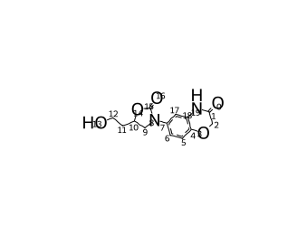 O=C1COc2ccc(N3CC(CCO)OC3=O)cc2N1